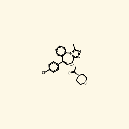 Cc1nnc2n1-c1ccccc1C(c1ccc(Cl)cc1)=C[C@H]2CC(=O)N1CCOCC1